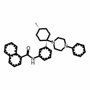 C[C@H]1CC[C@](c2cccc(NC(=O)c3cccc4ccccc34)c2)(N2CCN(c3ccccc3)CC2)CC1